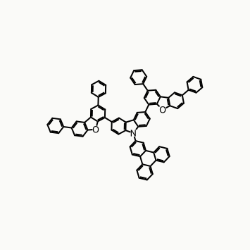 c1ccc(-c2ccc3oc4c(-c5ccc6c(c5)c5cc(-c7cc(-c8ccccc8)cc8c7oc7ccc(-c9ccccc9)cc78)ccc5n6-c5ccc6c7ccccc7c7ccccc7c6c5)cc(-c5ccccc5)cc4c3c2)cc1